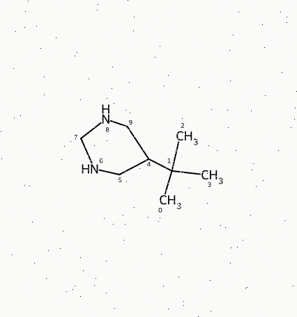 CC(C)(C)C1CNCNC1